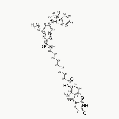 Cn1nc(C2CCC(=O)NC2=O)c2cccc(NC(=O)CCCCCCCCCNC(=O)c3nc4c(CN)cc(N5CC[C@](C)(c6ccccc6)C5)cn4n3)c21